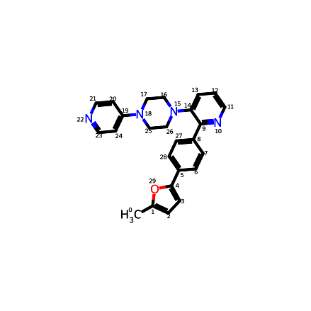 Cc1ccc(-c2ccc(-c3ncccc3N3CCN(c4ccncc4)CC3)cc2)o1